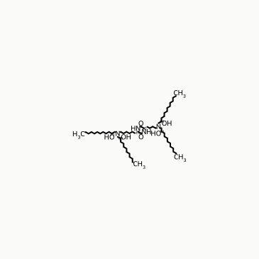 CCCCCCCCCCC[C@@H](O)CN(CCCC[C@@H]1NC(=O)[C@H](CCCCCCN(C[C@H](O)CCCCCCCCCC)C[C@H](O)CCCCCCCCCC)NC1=O)C[C@H](O)CCCCCCCCCC